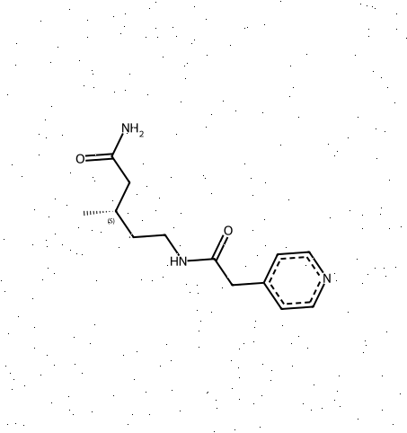 C[C@@H]([CH]CNC(=O)Cc1ccncc1)CC(N)=O